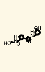 O=C(NCCO)c1cccc(-c2cncc(NCc3cccc(O)c3)c2)c1